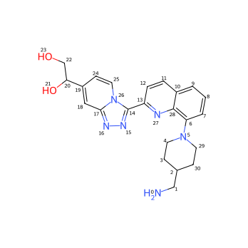 NCC1CCN(c2cccc3ccc(-c4nnc5cc(C(O)CO)ccn45)nc23)CC1